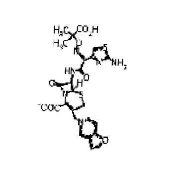 CC(C)(ON=C(C(=O)NC1C(=O)N2C(C(=O)[O-])=C(C[n+]3ccc4occc4c3)CS[C@@H]12)c1csc(N)n1)C(=O)O